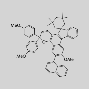 COc1ccc(C2(c3ccc(OC)cc3)C=Cc3c4c(c5cc(OC)c(-c6cccc7ccccc67)cc5c3O2)-c2ccccc2C42CC(C)(C)CC(C)(C)C2)cc1